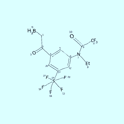 BCC(=O)c1cc(N(CC)C(=O)C(F)(F)F)cc(S(F)(F)(F)(F)F)c1